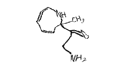 CC1(C(=O)CN)C=CC=CN1